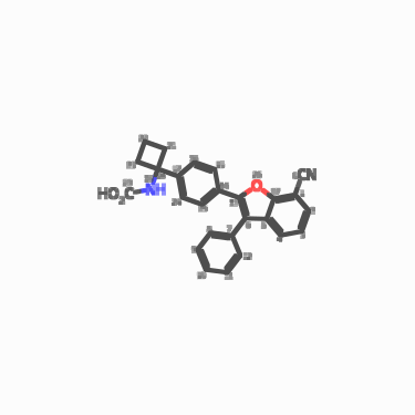 N#Cc1cccc2c(-c3ccccc3)c(-c3ccc(C4(NC(=O)O)CCC4)cc3)oc12